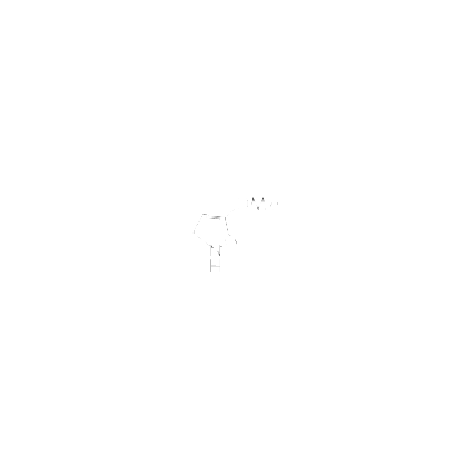 COC1=C[CH]NO1